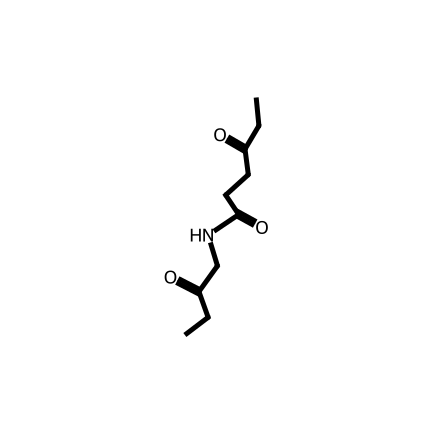 CCC(=O)CCC(=O)NCC(=O)CC